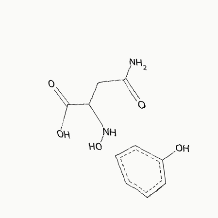 NC(=O)CC(NO)C(=O)O.Oc1ccccc1